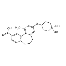 Cc1cc(OC2CCS(O)(O)CC2)cc2c1-c1cc(C(=O)O)ccc1CCC2